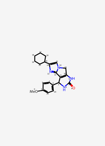 COc1ccc(C2NC(=O)NC3=C2c2nc(C4CCCCC4)cn2C3)cc1